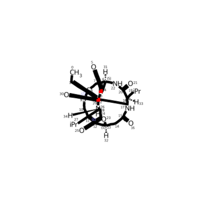 C/C=C1\NC(=O)[C@H]2CSSC/C=C\[C@H](CC(=O)N[C@H](C(C)C)C(=O)N2)OC(=O)[C@H](C(C)C)NC1=O